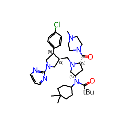 CN1CCN(C(=O)[C@@H]2C[C@H](N(C(=O)C(C)(C)C)C3CCC(C)(C)CC3)CN2C[C@H]2CN(c3ncccn3)C[C@H]2c2ccc(Cl)cc2)CC1